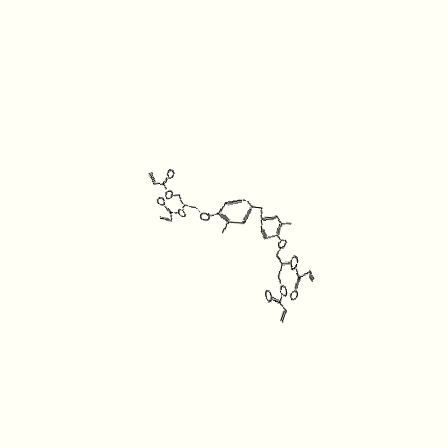 C=CC(=O)OCC(COc1ccc(Cc2ccc(OCC(COC(=O)C=C)OC(=O)C=C)c(C)c2)cc1C)OC(=O)C=C